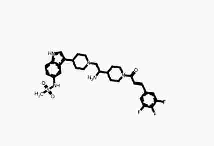 CS(=O)(=O)Nc1ccc2[nH]cc(C3CCN(CC(N)C4CCN(C(=O)C=Cc5cc(F)c(F)c(F)c5)CC4)CC3)c2c1